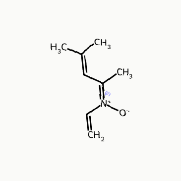 C=C/[N+]([O-])=C(/C)C=C(C)C